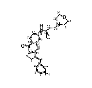 Cc1cccc(C=C2CCn3c2nc2cc(NC(=O)CCN4CCOCC4)ccc2c3=O)c1